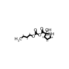 CCCCOC(=O)OC(=O)[C@]1(O)CCCN1